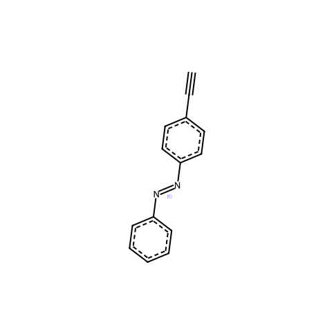 C#Cc1ccc(/N=N/c2ccccc2)cc1